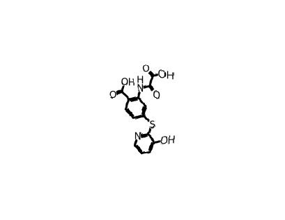 O=C(O)C(=O)Nc1cc(Sc2ncccc2O)ccc1C(=O)O